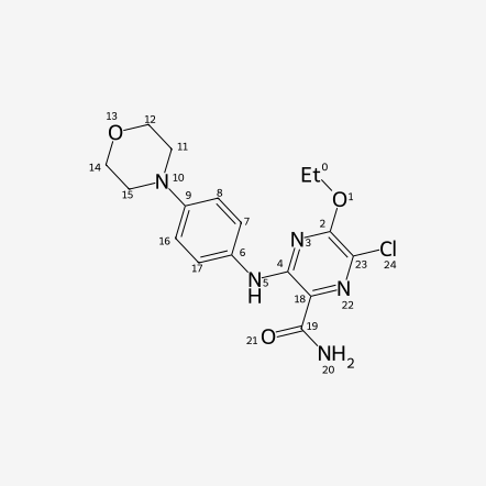 CCOc1nc(Nc2ccc(N3CCOCC3)cc2)c(C(N)=O)nc1Cl